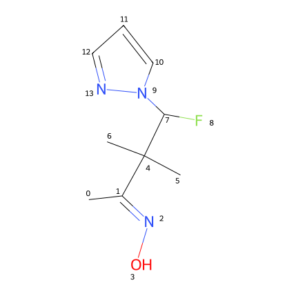 CC(=NO)C(C)(C)C(F)n1cccn1